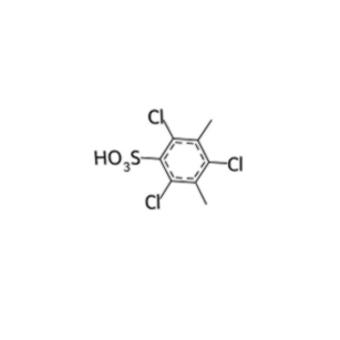 Cc1c(Cl)c(C)c(Cl)c(S(=O)(=O)O)c1Cl